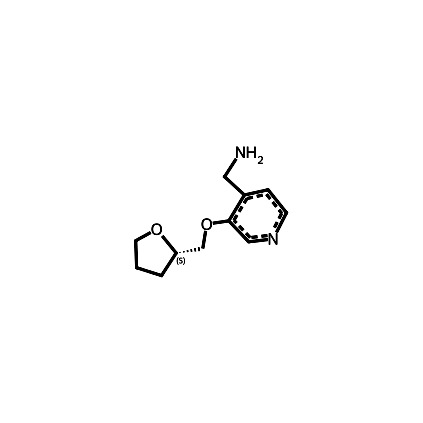 NCc1ccncc1OC[C@@H]1CCCO1